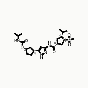 CC(C)NC(=O)O[C@@H]1CC[C@H](c2cc(NC(=O)[C@@H]3C[C@@H](C(C)C)N(S(C)(=O)=O)C3)n[nH]2)C1